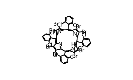 Clc1cccc(Cl)c1-c1c2nc(c(-c3c(Cl)cccc3Cl)c3[nH]c(c(Br)c3Br)c(-c3c(Cl)cccc3Cl)c3nc(c(-c4c(Cl)cccc4Cl)c4[nH]c1c(Br)c4Br)C(Br)=C3Br)C(Br)=C2Br